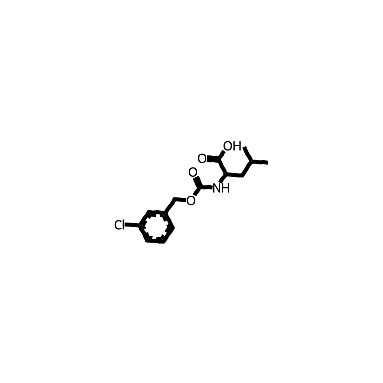 CC(C)CC(NC(=O)OCc1cccc(Cl)c1)C(=O)O